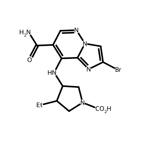 CCC1CN(C(=O)O)CC1Nc1c(C(N)=O)cnn2cc(Br)nc12